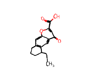 CCC1CCCc2cc3oc(C(=O)O)cc(=O)c3cc21